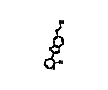 CCc1ncccc1-c1cc2ccc(OCO)cc2o1